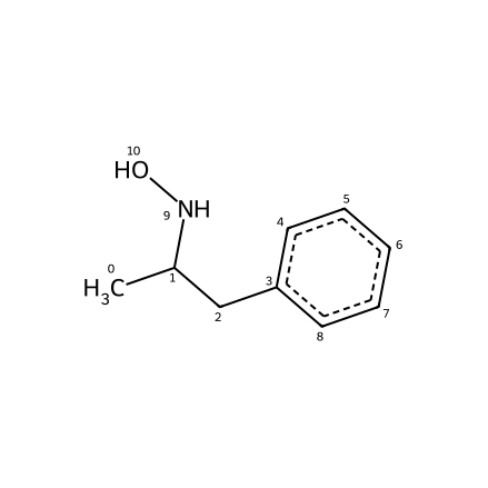 CC(Cc1ccccc1)NO